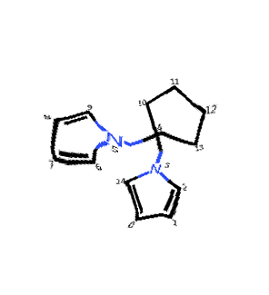 c1ccn(C2(n3cccc3)CCCC2)c1